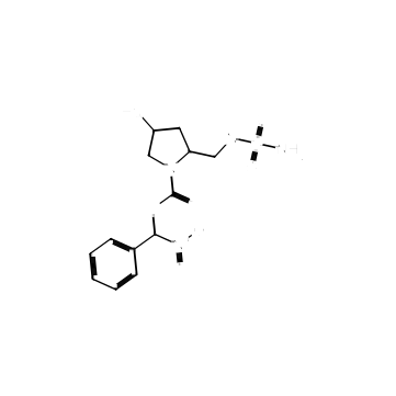 NS(=O)(=O)NCC1CC(S)CN1C(=O)OC(c1ccccc1)[N+](=O)[O-]